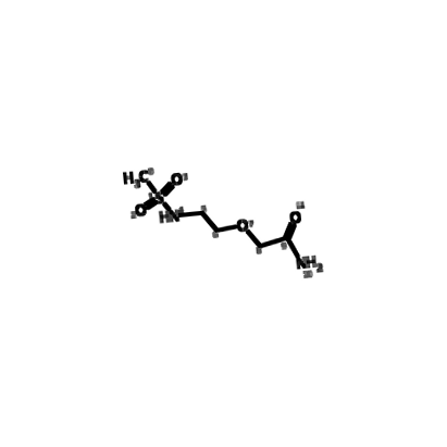 CS(=O)(=O)NCCOCC(N)=O